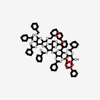 O=C(OC1C(OC2C(COCc3ccccc3)OC(OC3C4OC(c5ccccc5)OCC4OC(OC4C(COCc5ccccc5)OC(OCc5ccccc5)C(OC(=O)c5ccccc5)C4OC(=O)c4ccccc4)C3OC(=O)c3ccccc3)C(OC(=O)c3ccccc3)C2OC(=O)c2ccccc2)OC2COC(c3ccccc3)OC2C1O)c1ccccc1